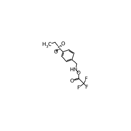 CCS(=O)(=O)c1ccc(CNOC(=O)C(F)(F)F)cc1